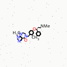 CNCC[C@H](Oc1ccc(CN2CCN(C)c3ncncc3C2=O)c(C)c1)c1ccccc1